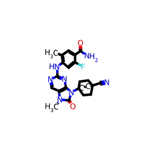 Cc1cc(C(N)=O)c(F)cc1Nc1ncc2c(n1)n(C13CCC(C#N)(CC1)CC3)c(=O)n2C